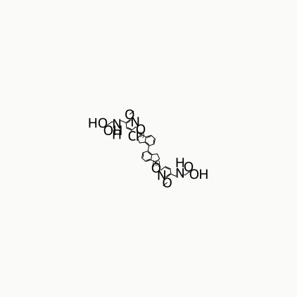 COc1nc(O[C@H]2CCc3c(-c4cccc5c4CC[C@@H]5Oc4nc(OC)c(CNCC(O)O)cc4Cl)cccc32)ccc1CNCC(=O)O